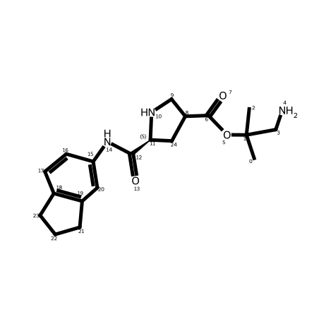 CC(C)(CN)OC(=O)C1CN[C@H](C(=O)Nc2ccc3c(c2)CCC3)C1